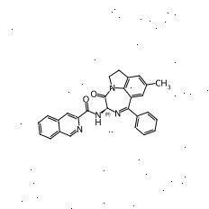 Cc1cc2c3c(c1)C(c1ccccc1)=N[C@@H](NC(=O)c1cc4ccccc4cn1)C(=O)N3CC2